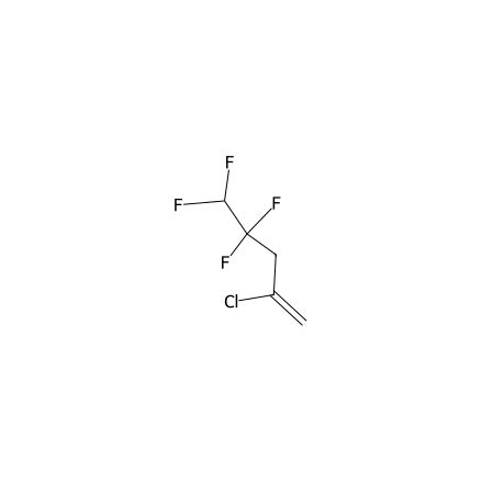 C=C(Cl)CC(F)(F)C(F)F